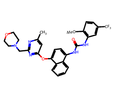 COc1ccc(C(F)(F)F)cc1NC(=O)Nc1ccc(Oc2cc(C)nc(CN3CCOCC3)n2)c2ccccc12